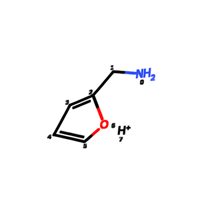 NCc1ccco1.[H+]